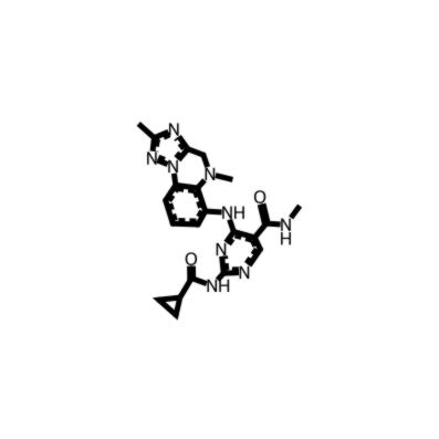 CNC(=O)c1cnc(NC(=O)C2CC2)nc1Nc1cccc2c1N(C)Cc1nc(C)nn1-2